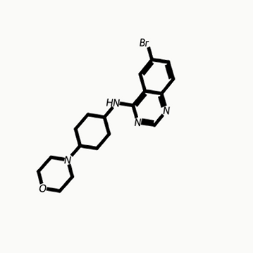 Brc1ccc2ncnc(NC3CCC(N4CCOCC4)CC3)c2c1